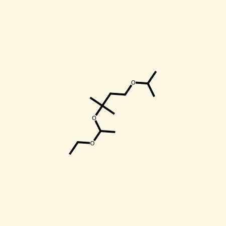 CCOC(C)OC(C)(C)CCOC(C)C